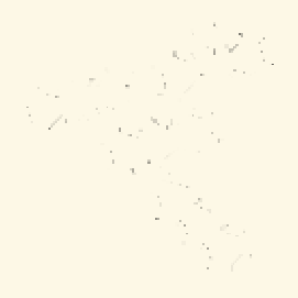 CC1(C)c2ccccc2Oc2c(-c3cccc4c(-c5ccc6cc7ccccc7cc6c5)c5cccc(-c6cccc7c6Oc6ccccc6C7(C)C)c5cc34)cccc21